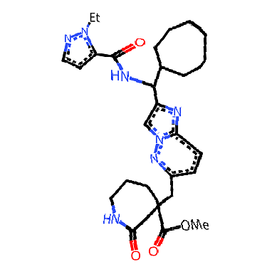 CCn1nccc1C(=O)NC(c1cn2nc(CC3(C(=O)OC)CCCNC3=O)ccc2n1)C1CCCCCC1